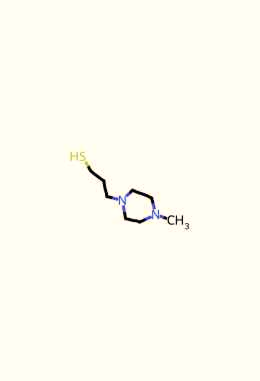 CN1CCN(CCCS)CC1